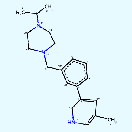 CC1=CNCC(c2cccc(CN3CCN(C(C)C)CC3)c2)=C1